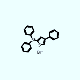 [Br-].c1ccc(-c2csc([S+](c3ccccc3)c3ccccc3)c2)cc1